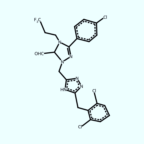 O=CC1N(Cc2nnc(Cc3c(Cl)cccc3Cl)[nH]2)N=C(c2ccc(Cl)cc2)N1CCC(F)(F)F